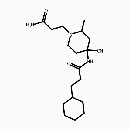 CC1CC(C#N)(NC(=O)[CH]CC2CCCCC2)CCN1CCC(N)=O